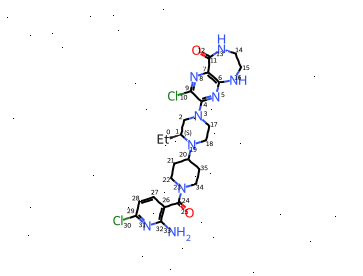 CC[C@H]1CN(c2nc3c(nc2Cl)C(=O)NCCN3)CCN1C1CCN(C(=O)c2ccc(Cl)nc2N)CC1